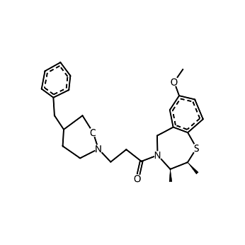 COc1ccc2c(c1)CN(C(=O)CCN1CCC(Cc3ccccc3)CC1)[C@H](C)[C@H](C)S2